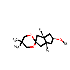 CCO[C@H]1C[C@@H]2CC3(C[C@@H]2C1)OCC(C)(C)CO3